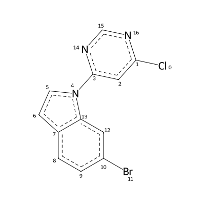 Clc1cc(-n2ccc3ccc(Br)cc32)ncn1